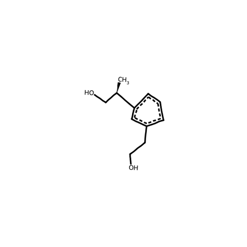 C[C@H](CO)c1cccc(CCO)c1